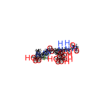 O=C(CCN1C(=O)C=CC1=O)NCCC(=O)Nc1cc(COC(=O)N2CCN(c3cc4c(cc3F)c(=O)c(C(=O)O)cn4C3CC3)CC2)ccc1O[C@@H]1O[C@H](C(=O)O)[C@@H](O)[C@H](O)[C@H]1O